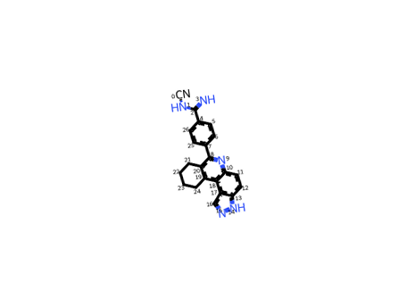 N#CNC(=N)c1ccc(-c2nc3ccc4[nH]ncc4c3c3c2CCCC3)cc1